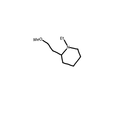 CCN1CCCCC1CCOC